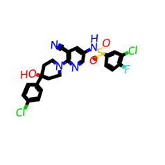 N#Cc1cc(NS(=O)(=O)c2ccc(F)c(Cl)c2)cnc1N1CCC(O)(c2ccc(Cl)cc2)CC1